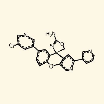 NC1=N[C@@]2(CO1)c1cc(-c3cncc(Cl)c3)ccc1Oc1cnc(-c3cccnc3)cc12